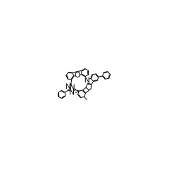 CC1C=CC2(C)C3=C1Cc1c(n(c4ccc(-c5ccccc5)cc14)-c1cccc4c1oc1c(cccc14)-c1nc(-c4ccccc4)nc2n1)C3C